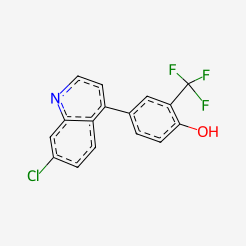 Oc1ccc(-c2ccnc3cc(Cl)ccc23)cc1C(F)(F)F